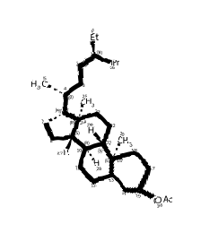 CC[C@H](CC[C@@H](C)[C@H]1CC[C@H]2[C@@H]3CCC4CC(OC(C)=O)CC[C@]4(C)[C@H]3CC[C@]12C)C(C)C